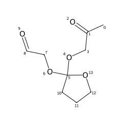 CC(=O)COC1(OCC=O)CCCO1